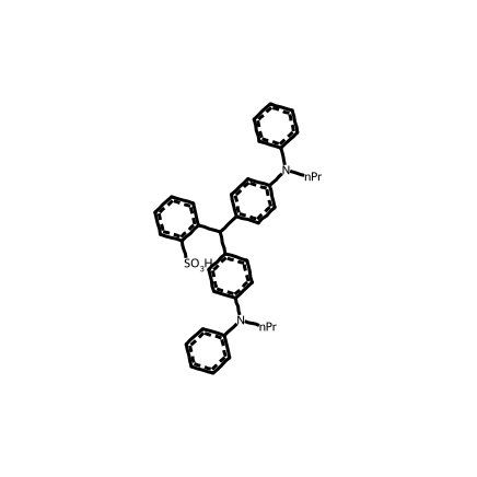 CCCN(c1ccccc1)c1ccc(C(c2ccc(N(CCC)c3ccccc3)cc2)c2ccccc2S(=O)(=O)O)cc1